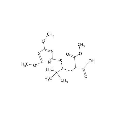 COC(=O)C(CC(Sc1nc(OC)cc(OC)n1)C(C)(C)C)C(=O)O